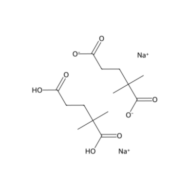 CC(C)(CCC(=O)O)C(=O)O.CC(C)(CCC(=O)[O-])C(=O)[O-].[Na+].[Na+]